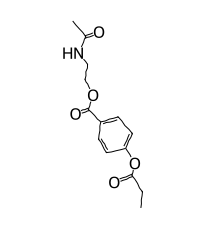 CCC(=O)Oc1ccc(C(=O)OCCNC(C)=O)cc1